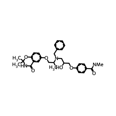 CNC(=O)c1ccc(OCC(O)CN(Cc2ccccc2)C(C)COc2ccc3c(c2)C(=O)NC(C)(C)O3)cc1